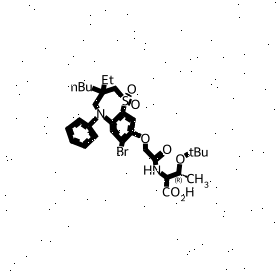 CCCCC1(CC)CN(c2ccccc2)c2cc(Br)c(OCC(=O)NC(C(=O)O)[C@@H](C)OC(C)(C)C)cc2S(=O)(=O)C1